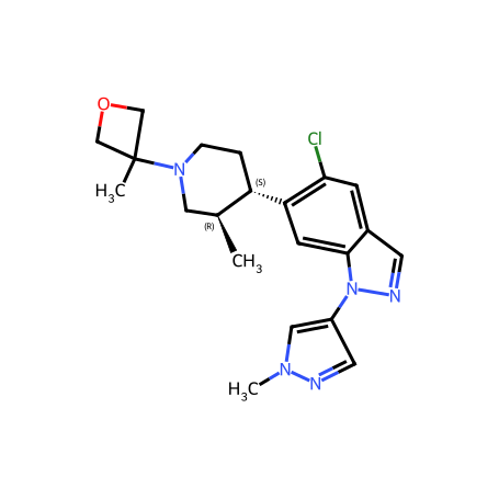 C[C@H]1CN(C2(C)COC2)CC[C@@H]1c1cc2c(cnn2-c2cnn(C)c2)cc1Cl